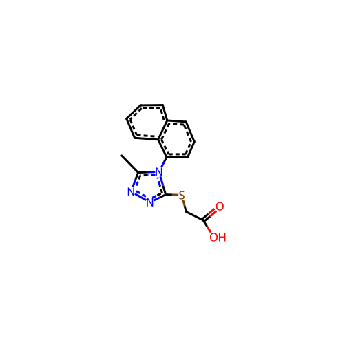 Cc1nnc(SCC(=O)O)n1-c1cccc2ccccc12